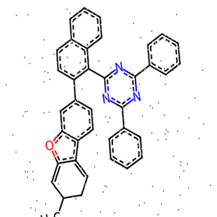 CC1C=c2oc3cc(-c4ccc5ccccc5c4-c4nc(-c5ccccc5)nc(-c5ccccc5)n4)ccc3c2=CC1